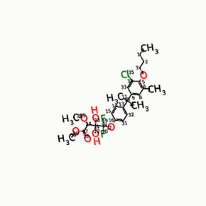 CCCCOc1c(C)cc(C(C)(C)c2ccc(OC(F)(F)C(O)(O)C(OC)C(=O)OC)cc2)cc1Cl